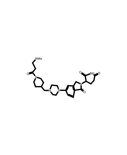 CNCCC(=O)N1CCC(CN2CCN(c3ccc4c(c3)CN(C3CCC(=O)NC3=O)C4=O)CC2)CC1